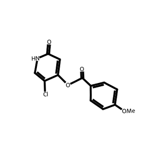 COc1ccc(C(=O)Oc2cc(=O)[nH]cc2Cl)cc1